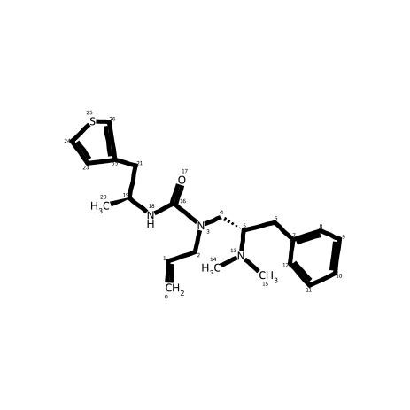 C=CCN(C[C@H](Cc1ccccc1)N(C)C)C(=O)N[C@@H](C)Cc1ccsc1